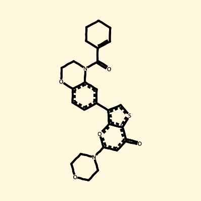 O=C(C1=CCCCC1)N1CCOc2ccc(-c3csc4c(=O)cc(N5CCOCC5)oc34)cc21